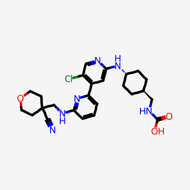 N#CC1(CNc2cccc(-c3cc(N[C@H]4CC[C@H](CNC(=O)O)CC4)ncc3Cl)n2)CCOCC1